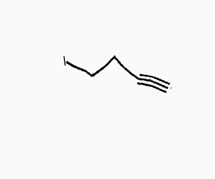 [C]#CCCI